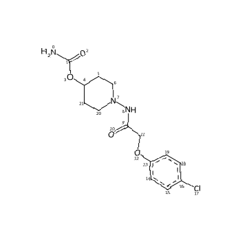 NC(=O)OC1CCN(NC(=O)COc2ccc(Cl)cc2)CC1